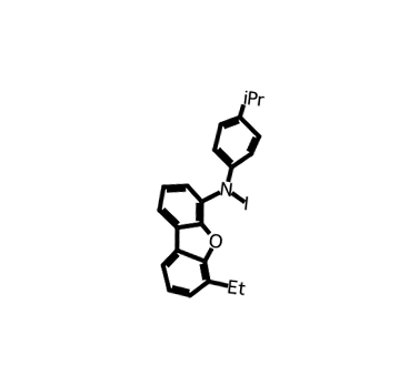 CCc1cccc2c1oc1c(N(I)c3ccc(C(C)C)cc3)cccc12